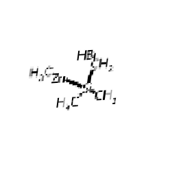 Br.[CH3][Zn][Si](C)(C)C